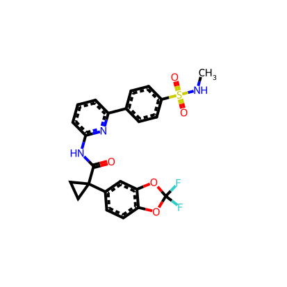 CNS(=O)(=O)c1ccc(-c2cccc(NC(=O)C3(c4ccc5c(c4)OC(F)(F)O5)CC3)n2)cc1